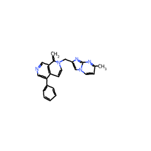 C=C1c2cncc(-c3ccccc3)c2C=CN1Cc1cn2ccc(C)nc2n1